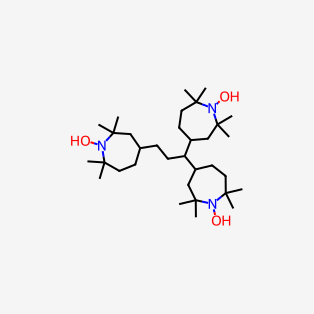 CC1(C)CCC(CCC(C2CCC(C)(C)N(O)C(C)(C)C2)C2CCC(C)(C)N(O)C(C)(C)C2)CC(C)(C)N1O